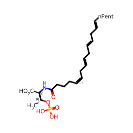 CCCCCC=CCC=CCC=CC/C=C\CCCC(=O)N[C@H](C(=O)O)[C@@H](C)OP(=O)(O)O